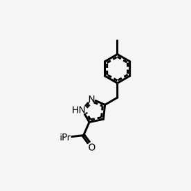 Cc1ccc(Cc2cc(C(=O)C(C)C)[nH]n2)cc1